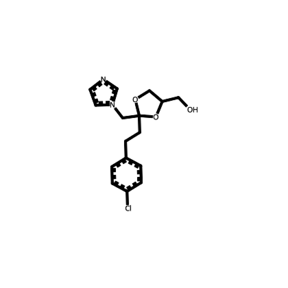 OCC1COC(CCc2ccc(Cl)cc2)(Cn2ccnc2)O1